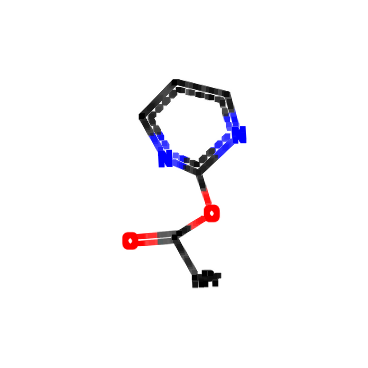 CCCC(=O)Oc1ncccn1